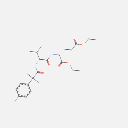 CCOC(=O)CC[C@@H](NC(=O)[C@@H](NC(=O)C(C)(C)c1ccc(Cl)cc1)C(C)C)C(=O)OCC